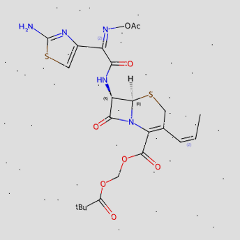 C/C=C\C1=C(C(=O)OCOC(=O)C(C)(C)C)N2C(=O)[C@@H](NC(=O)/C(=N\OC(C)=O)c3csc(N)n3)[C@H]2SC1